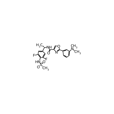 C[C@@H](NC(=O)c1coc(-c2cccc(N(C)C)c2)n1)c1cc(F)c(NS(C)(=O)=O)c(F)c1